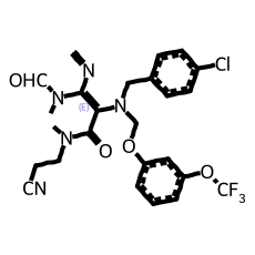 C=N/C(=C(/C(=O)N(C)CCC#N)N(COc1cccc(OC(F)(F)F)c1)Cc1ccc(Cl)cc1)N(C)C=O